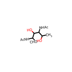 CC(=O)NC(C=O)C(O)C(NC(C)=O)C(C)O